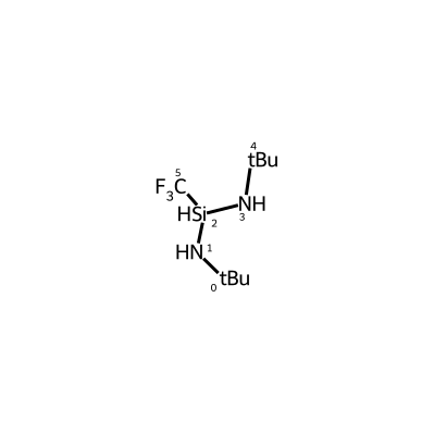 CC(C)(C)N[SiH](NC(C)(C)C)C(F)(F)F